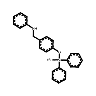 CC(C)(C)[Si](Oc1ccc(CNc2ccccc2)cc1)(c1ccccc1)c1ccccc1